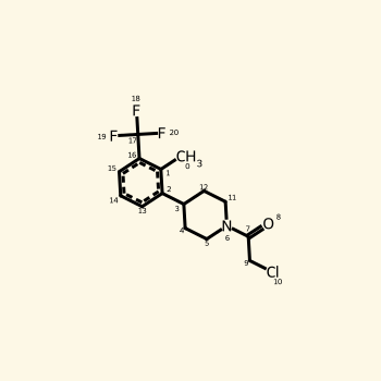 Cc1c(C2CCN(C(=O)CCl)CC2)cccc1C(F)(F)F